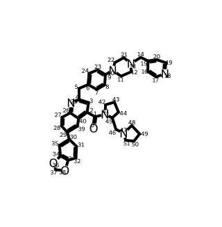 O=C(c1cc(Cc2ccc(N3CCN(Cc4ccncc4)CC3)cc2)nc2ccc(-c3ccc4c(c3)OCO4)cc12)N1CCCC1CN1CCCC1